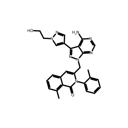 Cc1ccccc1-n1c(Cn2nc(-c3cnn(CCO)c3)c3c(N)ncnc32)cc2cccc(C)c2c1=O